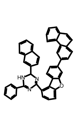 c1ccc(C2=NC(c3cccc4oc5cc(-c6ccc7ccc8ccccc8c7c6)ccc5c34)=NC(c3ccc4ccccc4c3)N2)cc1